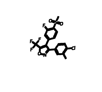 Cc1cc(-c2noc(C(F)(F)F)c2-c2ccc(S(C)(=O)=O)c(F)c2)ccc1Cl